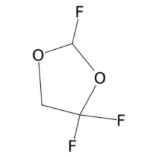 FC1OCC(F)(F)O1